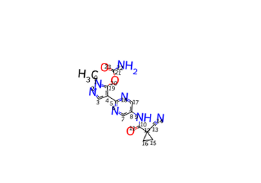 Cn1ncc(-c2ncc(NC(=O)C3(C#N)CC3)cn2)c1OC(N)=O